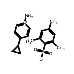 Cc1cc(C)c(S(=O)(=O)[O-])c(C)c1.N[n+]1ccc(C2CC2)cc1